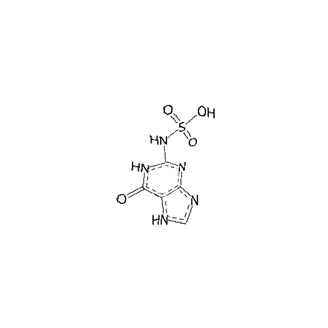 O=c1[nH]c(NS(=O)(=O)O)nc2nc[nH]c12